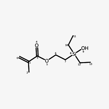 C=C(C)C(=O)OCC[Si](O)(CC)CC